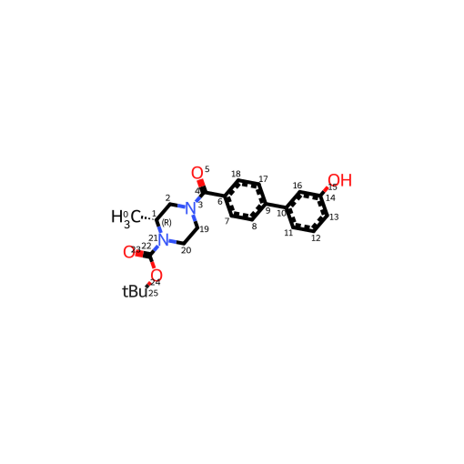 C[C@@H]1CN(C(=O)c2ccc(-c3cccc(O)c3)cc2)CCN1C(=O)OC(C)(C)C